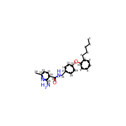 CCCCCc1ccccc1Oc1ccc(CNC(=O)c2ccc(C)nc2N)cc1